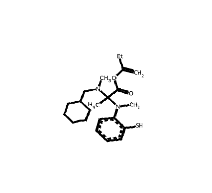 C=C(CC)OC(=O)C(C)(N(C)CC1CCCCC1)N(C)c1ccccc1S